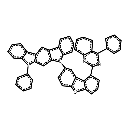 c1ccc(-c2nc(-c3cccc4oc5ccc(-n6c7ccccc7c7cc8c9ccccc9n(-c9ccccc9)c8cc76)cc5c34)nc3ccccc23)cc1